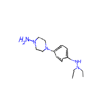 CCN(CC)Nc1ccc(N2CCN(N)CC2)cc1